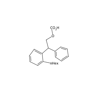 CCCCCCc1ccccc1C(COC(=O)O)c1ccccc1